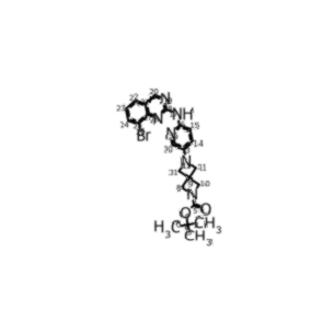 CC(C)(C)OC(=O)N1CC2(C1)CN(c1ccc(Nc3ncc4cccc(Br)c4n3)nc1)C2